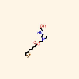 CCN(CCNCCO)CCOC(=O)CCCC[C@@H]1CCSS1